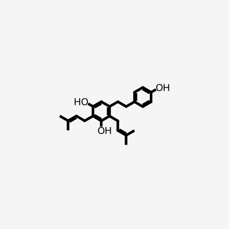 CC(C)=CCc1c(O)cc(CCc2ccc(O)cc2)c(CC=C(C)C)c1O